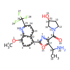 COc1ccc(-c2nc(C(=O)N3CC[C@H](O)C3)c(C(C)N)o2)c2ccc(C(F)(F)F)nc12